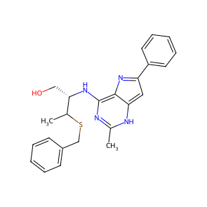 Cc1nc(N[C@@H](CO)C(C)SCc2ccccc2)c2nc(-c3ccccc3)cc-2[nH]1